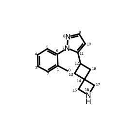 Cc1ccccc1-n1nccc1C1CC2(CNC2)C1